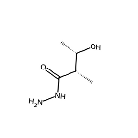 C[C@H](O)[C@H](C)C(=O)NN